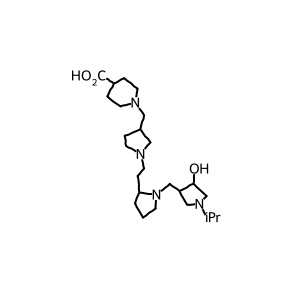 CC(C)N1CC(O)C(CN2CCCC2CCN2CCC(CN3CCC(C(=O)O)CC3)C2)C1